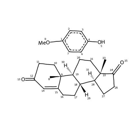 COc1ccc(O)cc1.C[C@]12CCC(=O)C=C1CC[C@@H]1[C@@H]2CC[C@]2(C)C(=O)CC[C@@H]12